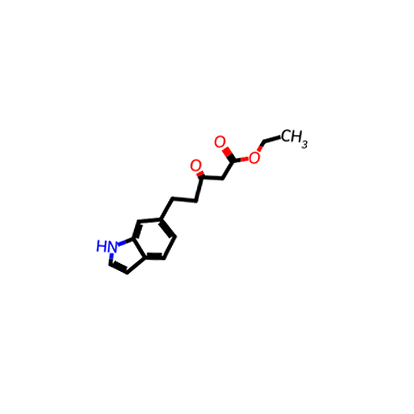 CCOC(=O)CC(=O)CCc1ccc2cc[nH]c2c1